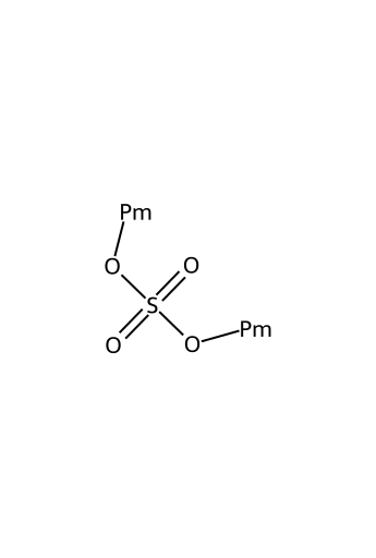 O=S(=O)([O][Pm])[O][Pm]